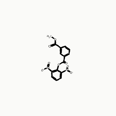 COC(=O)c1cccc(C(=O)Oc2c([N+](=O)[O-])cccc2[N+](=O)[O-])c1